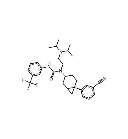 CC(C)N(CCN(C(=O)Nc1cccc(C(F)(F)F)c1)[C@@H]1CC[C@]2(c3cccc(C#N)c3)CC2C1)C(C)C